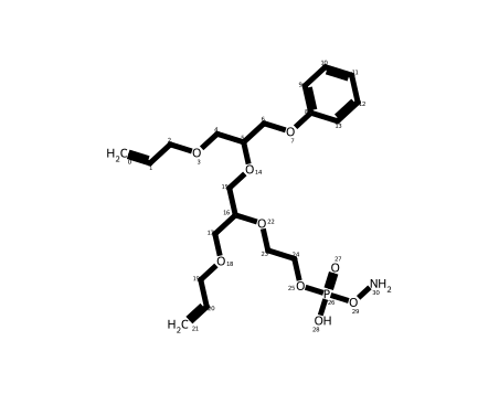 C=CCOCC(COc1ccccc1)OCC(COCC=C)OCCOP(=O)(O)ON